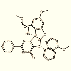 COCCN[C@@]12c3nc(-c4ccccc4)[nH]c(=O)c3[C@@H](c3ccccc3)[C@]1(c1ccc(OC)cc1)Oc1cc(OC)cc(OC)c12